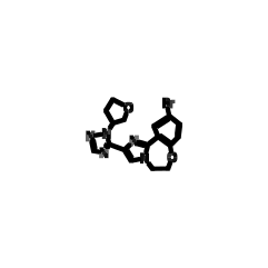 Brc1ccc2c(c1)-c1nc(-c3ncnn3C3CCOC3)cn1CCO2